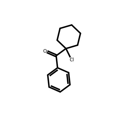 O=C(c1ccccc1)C1(Cl)CCCCC1